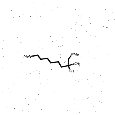 CNCCCCCCC(C)(O)CNC